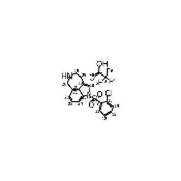 O=C(O)C(F)(F)F.O=S(=O)(c1ccccc1Cl)n1cc2c3c(cccc31)CNCC2